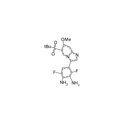 COc1cc2ncc(-c3cc(F)c(N)c(N)c3F)n2cc1S(=O)(=O)C(C)(C)C